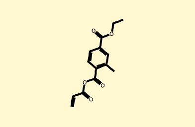 C=CC(=O)OC(=O)c1ccc(C(=O)OCC)cc1C